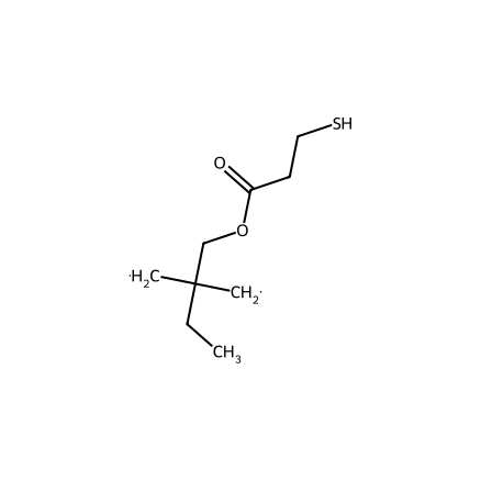 [CH2]C([CH2])(CC)COC(=O)CCS